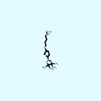 CC1(C)OB(c2ccc(OCCCCNC(=O)O)cc2)OC1(C)C